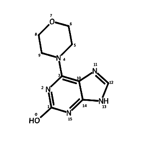 Oc1nc(N2CCOCC2)c2nc[nH]c2n1